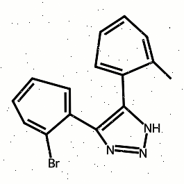 Cc1ccccc1-c1[nH]nnc1-c1ccccc1Br